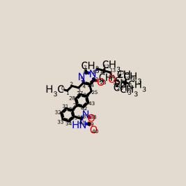 CCCCc1nc(C)n(CC(C)(C)CO[Si](C)(C)C(C)(C)C)c(=O)c1Cc1ccc(-c2ccccc2-c2noc(=O)[nH]2)cc1